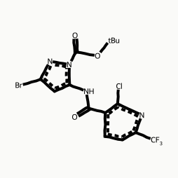 CC(C)(C)OC(=O)n1nc(Br)cc1NC(=O)c1ccc(C(F)(F)F)nc1Cl